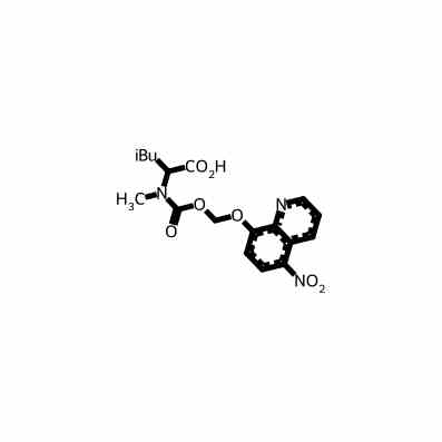 CCC(C)C(C(=O)O)N(C)C(=O)OCOc1ccc([N+](=O)[O-])c2cccnc12